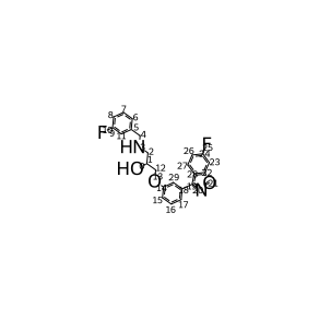 O[C@@H](CNCc1cccc(F)c1)COc1cccc(-c2noc3cc(F)ccc23)c1